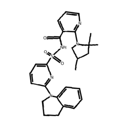 CC1CN(c2ncccc2C(=O)NS(=O)(=O)c2cccc(N3CCCc4ccccc43)n2)C(C)(C)C1